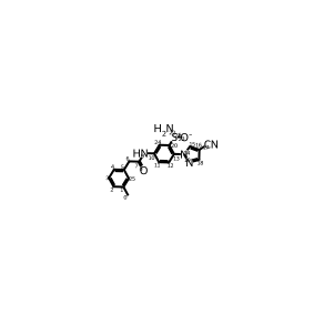 Cc1cccc(CC(=O)Nc2ccc(-n3cc(C#N)cn3)c([S+](N)[O-])c2)c1